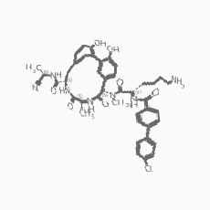 C[C@@H]1NC(=O)[C@@H](N(C)C(=O)[C@H](CCCCN)NC(=O)c2ccc(-c3ccc(Cl)cc3)cc2)c2ccc(O)c(c2)-c2cc(ccc2O)C[C@@H](C(=O)N[C@@H](C)C#N)NC1=O